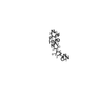 Cc1cc(-c2nnco2)sc1-c1ccc(NC(=O)c2c(F)cncc2F)nc1